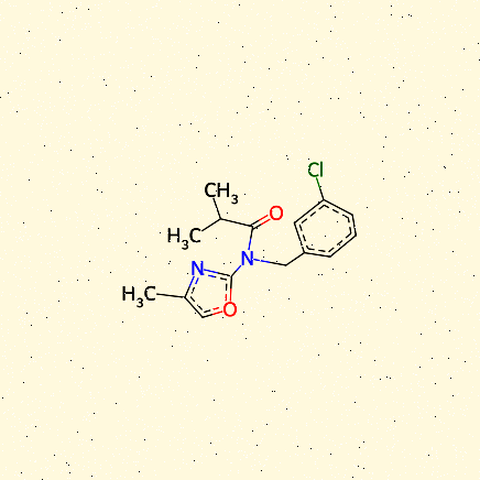 Cc1coc(N(Cc2cccc(Cl)c2)C(=O)C(C)C)n1